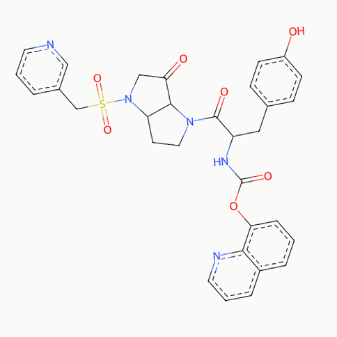 O=C(NC(Cc1ccc(O)cc1)C(=O)N1CCC2C1C(=O)CN2S(=O)(=O)Cc1cccnc1)Oc1cccc2cccnc12